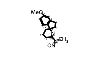 COc1ccc2c(c1)CCC21CCCC(N(C)N=O)=N1